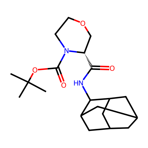 CC(C)(C)OC(=O)N1CCOC[C@@H]1C(=O)NC1C2CC3CC(C2)CC1C3